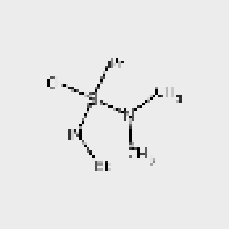 CCN[Si](Cl)(C(C)C)N(C)C